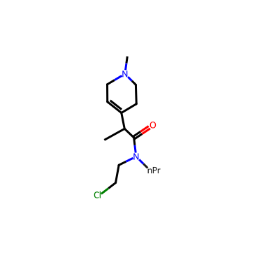 CCCN(CCCl)C(=O)C(C)C1=CCN(C)CC1